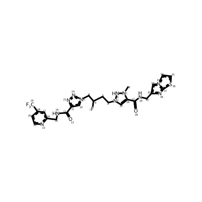 CN1NN(CCC(F)Cn2cc(C(=O)NCc3cc(C(F)(F)F)ccn3)nn2)C=C1C(=O)NCc1cn2ccsc2n1